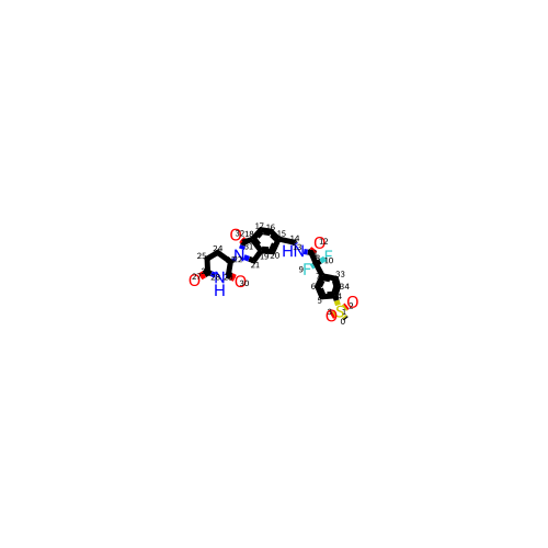 CS(=O)(=O)c1ccc(C(F)(F)C(=O)NCc2ccc3c(c2)CN([C@@H]2CCC(=O)NC2=O)C3=O)cc1